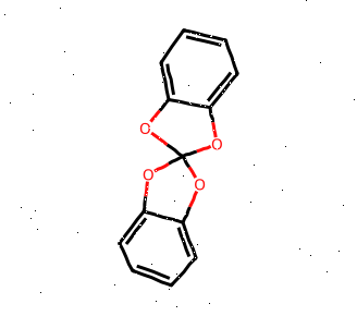 c1ccc2c(c1)OC1(O2)Oc2ccccc2O1